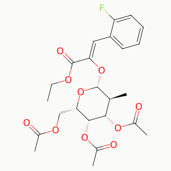 CCOC(=O)/C(=C/c1ccccc1F)O[C@H]1O[C@@H](COC(C)=O)[C@@H](OC(C)=O)[C@@H](OC(C)=O)[C@@H]1C